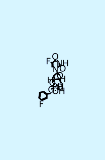 O=c1[nH]c(=O)n([C@H]2C[C@@H]3O[PH](O)(OCc4cccc(F)c4)OC[C@H]3O2)cc1F